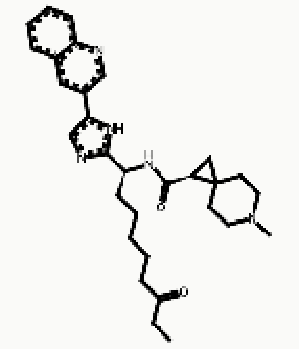 CCC(=O)CCCCC[C@H](NC(=O)[C@H]1CC12CCN(C)CC2)c1ncc(-c2cnc3ccccc3c2)[nH]1